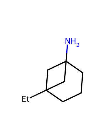 CCC12CCCC(N)(C1)C2